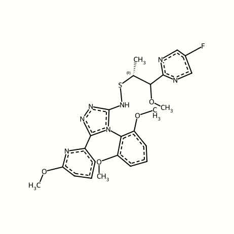 COc1cccc(-c2nnc(NS[C@H](C)C(OC)c3ncc(F)cn3)n2-c2c(OC)cccc2OC)n1